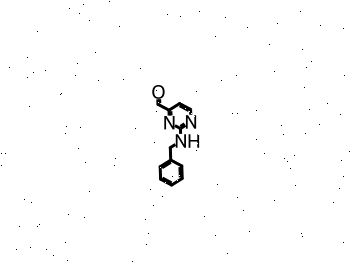 O=Cc1ccnc(NCc2ccccc2)n1